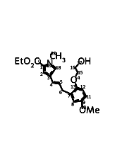 CCOC(=O)c1cc(C=CCc2cc(OC)ccc2OCCO)cn1C